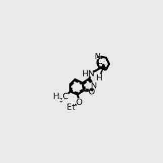 CCOc1c(C)ccc2c(N[C@@H]3CN4CCC3CC4)noc12